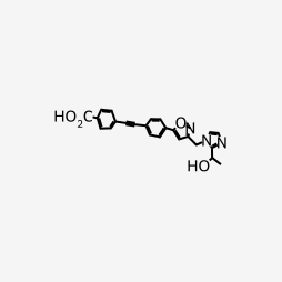 CC(O)c1nccn1Cc1cc(-c2ccc(C#Cc3ccc(C(=O)O)cc3)cc2)on1